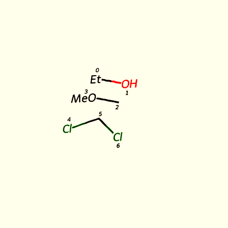 CCO.COC.ClCCl